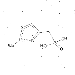 CC(C)(C)c1nc(CP(=O)(O)O)cs1